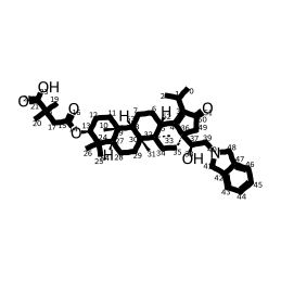 CC(C)C1=C2[C@H]3CC[C@@H]4[C@@]5(C)CC[C@H](OC(=O)CC(C)(C)C(=O)O)C(C)(C)[C@@H]5CC[C@@]4(C)[C@]3(C)CC[C@@]2([C@H](O)CN2Cc3ccccc3C2)CC1=O